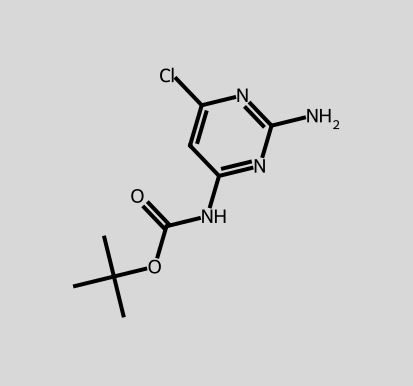 CC(C)(C)OC(=O)Nc1cc(Cl)nc(N)n1